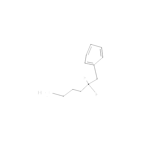 O=C(O)CCCC(F)(F)Cc1ccccc1